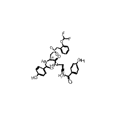 N#CCNC(=O)[C@H](CS(=O)(=O)Cc1ccccc1OC(F)F)NC(=O)c1ccc(O)cc1.NC(=O)c1ccc(O)cc1